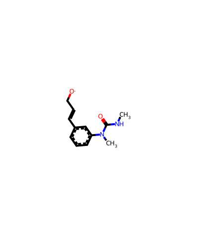 CNC(=O)N(C)c1cccc(/C=C/C[O])c1